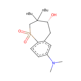 CCCCC1(CCCC)CS(=O)(=O)c2ccc(N(C)C)cc2C[C@H]1O